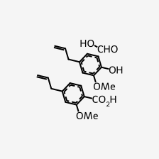 C=CCc1ccc(C(=O)O)c(OC)c1.C=CCc1ccc(O)c(OC)c1.O=CO